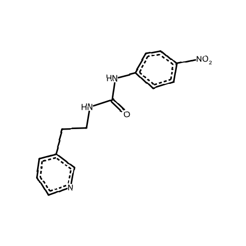 O=C(NCCc1cccnc1)Nc1ccc([N+](=O)[O-])cc1